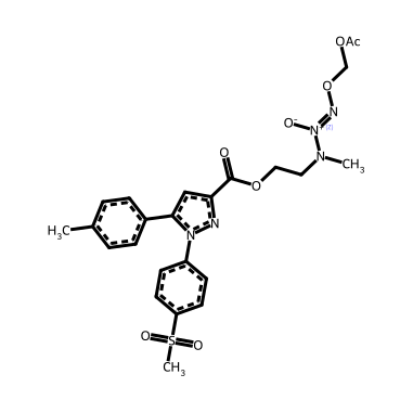 CC(=O)OCO/N=[N+](\[O-])N(C)CCOC(=O)c1cc(-c2ccc(C)cc2)n(-c2ccc(S(C)(=O)=O)cc2)n1